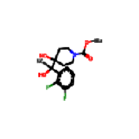 CC(C)(C)OC(=O)N1CCC(O)(C(O)(C#N)c2cccc(F)c2F)CC1